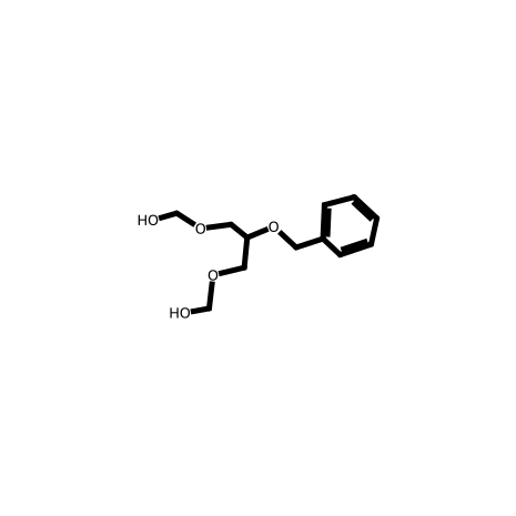 OCOCC(COCO)OCc1ccccc1